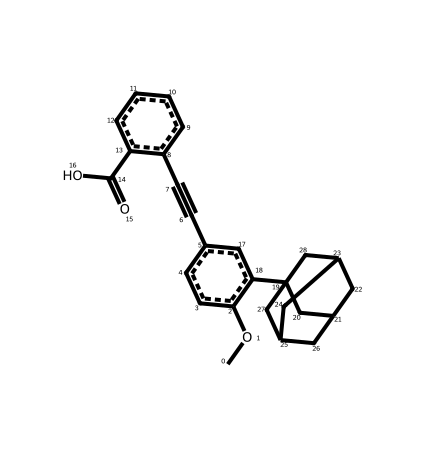 COc1ccc(C#Cc2ccccc2C(=O)O)cc1C12CC3CC(CC(C3)C1)C2